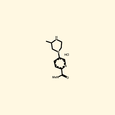 CNC(=O)c1ccc(N2CCNC(C)C2)cn1.Cl